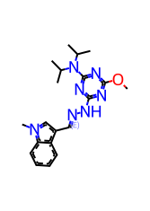 COc1nc(N/N=C/c2cn(C)c3ccccc23)nc(N(C(C)C)C(C)C)n1